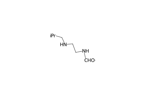 CC(C)CNCCN[C]=O